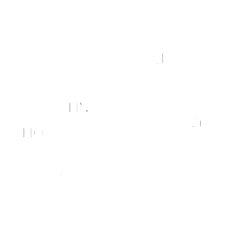 O=C(O)c1cc2cc(CBr)c(Cl)cc2[nH]1